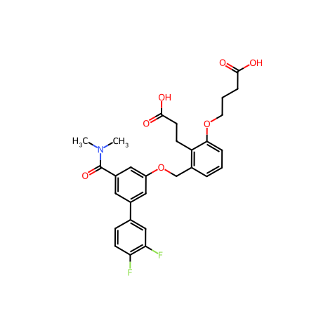 CN(C)C(=O)c1cc(OCc2cccc(OCCCC(=O)O)c2CCC(=O)O)cc(-c2ccc(F)c(F)c2)c1